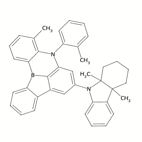 Cc1ccccc1N1c2cc(N3c4ccccc4C4(C)CCCCC34C)cc3c2B(c2ccccc2-3)c2cccc(C)c21